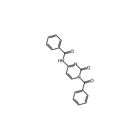 O=C(Nc1ccn(C(=O)c2ccccc2)c(=O)n1)c1ccccc1